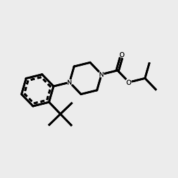 CC(C)OC(=O)N1CCN(c2ccccc2C(C)(C)C)CC1